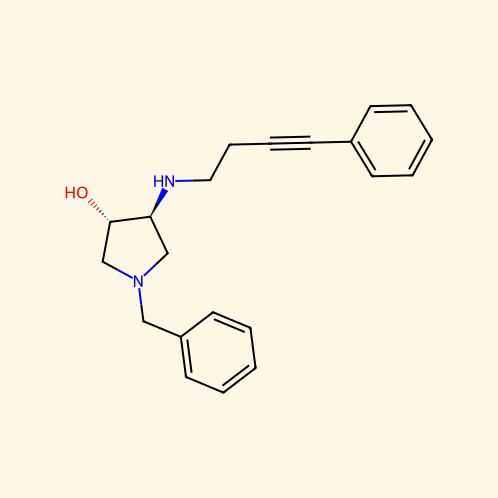 O[C@H]1CN(Cc2ccccc2)C[C@@H]1NCCC#Cc1ccccc1